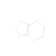 c1cc2c(s1)SCCC2